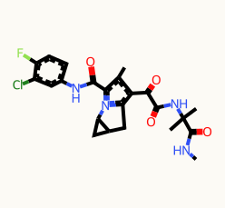 CNC(=O)C(C)(C)NC(=O)C(=O)c1c(C)c(C(=O)Nc2ccc(F)c(Cl)c2)n2c1CC1CC12